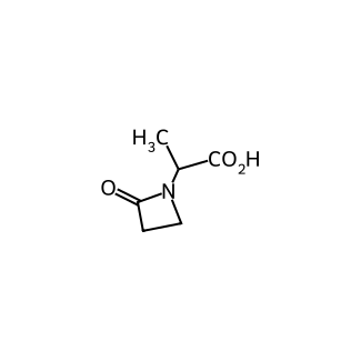 CC(C(=O)O)N1CCC1=O